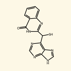 O=c1[nH]c(C(S)c2ncnc3[nH]cnc23)nc2ccccc12